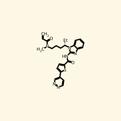 C=CC(=O)N(C)CCC[C@H](CC)n1c(NC(=O)c2ccc(-c3ccnnc3)s2)nc2ccccc21